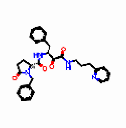 O=C(NCCCc1ccccn1)C(=O)C(Cc1ccccc1)NC(=O)[C@H]1CCC(=O)N1Cc1ccccc1